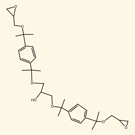 CC(C)(OCC(O)COC(C)(C)c1ccc(C(C)(C)OCC2CO2)cc1)c1ccc(C(C)(C)OCC2CO2)cc1